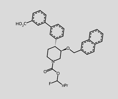 CCCC(F)OC(=O)N1CC[C@H](c2cccc(-c3cccc(C(=O)O)c3)c2)[C@@H](OCc2ccc3ccccc3c2)C1